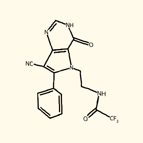 N#Cc1c(-c2ccccc2)n(CCNC(=O)C(F)(F)F)c2c(=O)[nH]cnc12